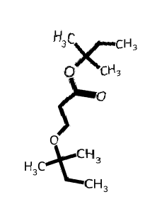 CCC(C)(C)OCCC(=O)OC(C)(C)CC